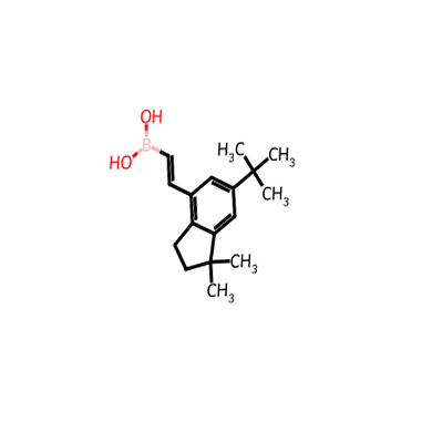 CC(C)(C)c1cc(C=CB(O)O)c2c(c1)C(C)(C)CC2